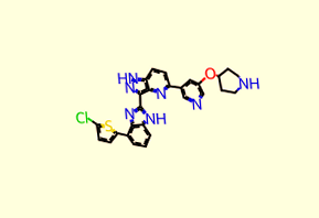 Clc1ccc(-c2cccc3[nH]c(-c4n[nH]c5ccc(-c6cncc(OC7CCNCC7)c6)nc45)nc23)s1